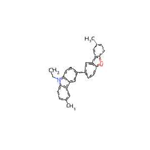 CCn1c2ccc(C)cc2c2cc(-c3ccc4oc5ccc(C)cc5c4c3)ccc21